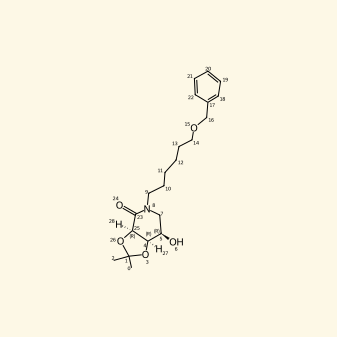 CC1(C)O[C@@H]2[C@H](O)CN(CCCCCCOCc3ccccc3)C(=O)[C@@H]2O1